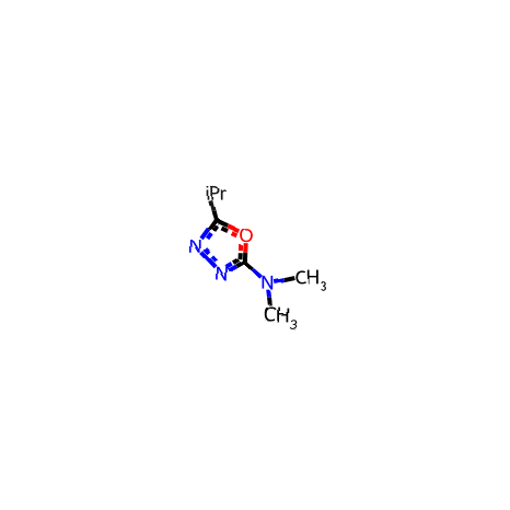 CC(C)c1nnc(N(C)C)o1